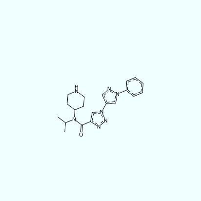 CC(C)N(C(=O)c1cn(-c2cnn(-c3ccccc3)c2)nn1)C1CCNCC1